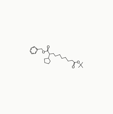 CC(C)(C)OC(=O)CCCCCCCC(C(=O)OCc1ccccc1)C1CCCC1